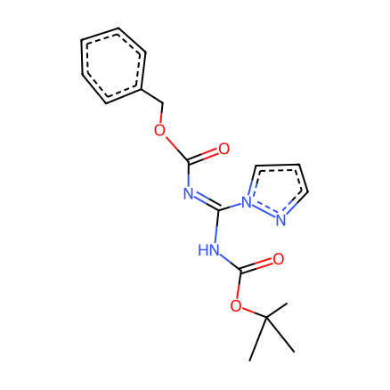 CC(C)(C)OC(=O)N/C(=N/C(=O)OCc1ccccc1)n1cccn1